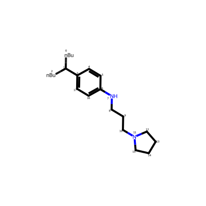 CCCCC(CCCC)c1ccc(NCCCN2CCCC2)cc1